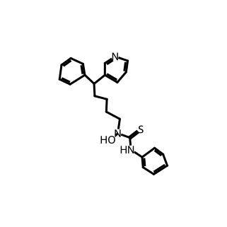 ON(CCCCC(c1ccccc1)c1cccnc1)C(=S)Nc1ccccc1